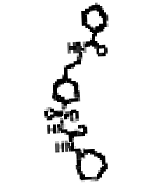 O=C(NN1CCCCCC1)NS(=O)(=O)c1ccc(CCNC(=O)c2ccccc2)cc1